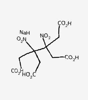 O=C(O)CC(CC(=O)O)([N+](=O)[O-])C(CC(=O)O)(CC(=O)O)[N+](=O)[O-].[NaH]